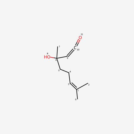 CC(C)=CCCC(C)(O)C=C=O